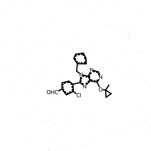 CC1(Oc2ncnc3c2nc(-c2ccc(C=O)cc2Cl)n3Cc2ccccc2)CC1